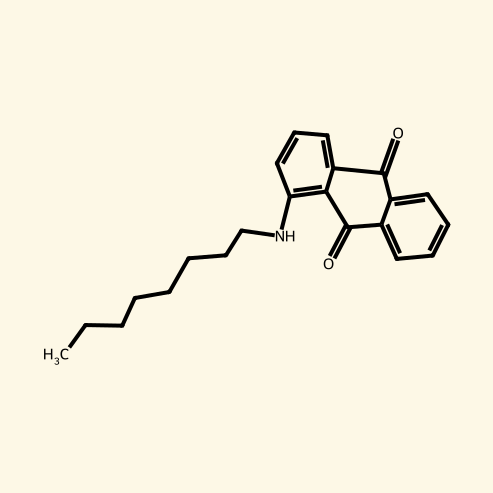 CCCCCCCCNc1cccc2c1C(=O)c1ccccc1C2=O